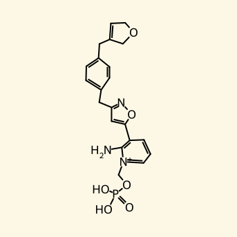 Nc1c(-c2cc(Cc3ccc(CC4=CCOC4)cc3)no2)ccc[n+]1COP(=O)(O)O